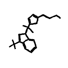 CCCCC1=CC=C(C(C)(C)C2C=C(C(C)(C)C)c3ccccc32)C1